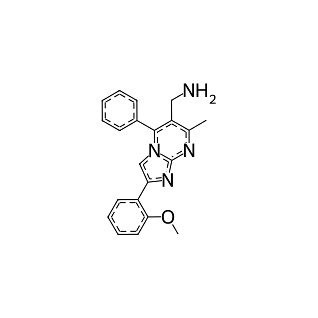 COc1ccccc1-c1cn2c(-c3ccccc3)c(CN)c(C)nc2n1